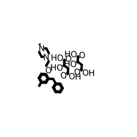 Cc1ccc(OCCN2CCN(C)CC2)c(Cc2ccccc2)c1.O=C(O)CC(O)C(=O)O.O=C(O)CC(O)C(=O)O